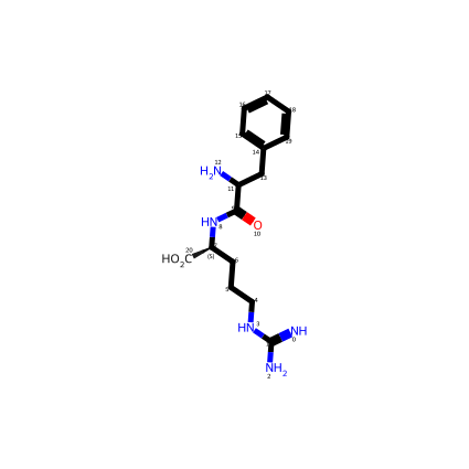 N=C(N)NCCC[C@H](NC(=O)C(N)Cc1ccccc1)C(=O)O